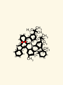 Cc1cc2c3c(c1)N1c4c(cc(C(C)(C)C)cc4C4(C)CCCCC14C)B3N(c1ccc(C(C)(C)C)cc1-c1ccccc1)c1ccc3sc4ccccc4c3c1-2